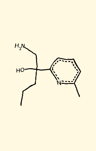 CCCC(O)(CN)c1cccc(C)n1